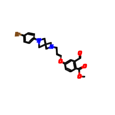 COC(=O)c1ccc(OCCCN2CC3(C2)CN(c2ccc(Br)cc2)C3)cc1C=O